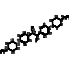 CCC[C@H]1CC[C@H](c2ccc(C(F)C(F)c3ccc([C@H]4CC[C@H](CCC)CC4)cc3)cc2)CC1